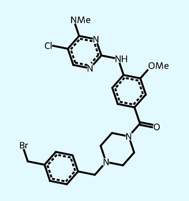 CNc1nc(Nc2ccc(C(=O)N3CCN(Cc4ccc(CBr)cc4)CC3)cc2OC)ncc1Cl